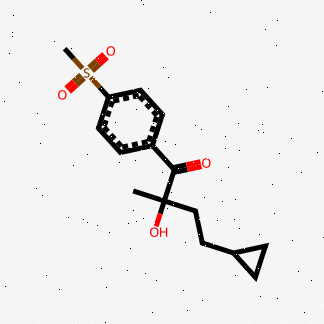 CC(O)(CCC1CC1)C(=O)c1ccc(S(C)(=O)=O)cc1